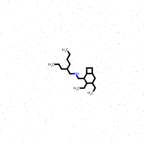 CCCCC(CCC)CNCC1C(CC)C(CC)CC2CCC21